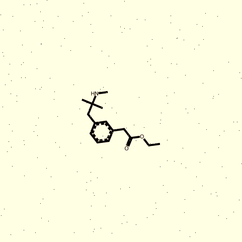 CCOC(=O)Cc1cccc(CC(C)(C)NC)c1